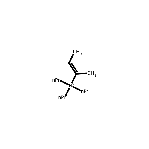 CC=C(C)[N+](CCC)(CCC)CCC